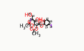 CC(=O)OC(C(OC(C)=O)[C@H](O)Oc1cccc(I)c1)[C@H](O)C(I)CO